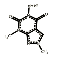 CCCCCCn1c(=O)c2cn(C)nc2n(C)c1=O